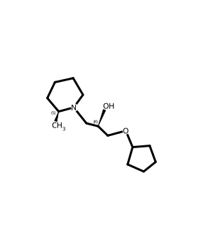 C[C@H]1CCCCN1C[C@@H](O)COC1CCCC1